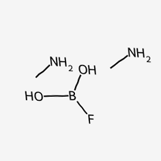 CN.CN.OB(O)F